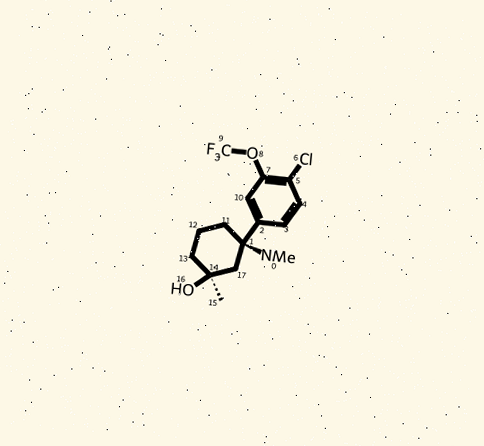 CN[C@]1(c2ccc(Cl)c(OC(F)(F)F)c2)CCC[C@](C)(O)C1